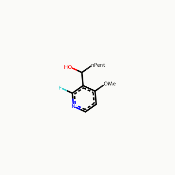 CCCCCC(O)c1c(OC)ccnc1F